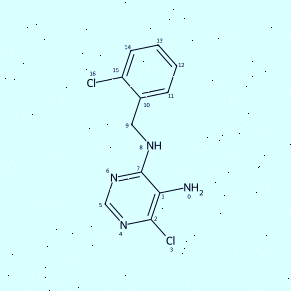 Nc1c(Cl)ncnc1NCc1ccccc1Cl